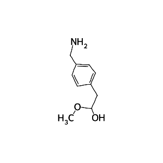 COC(O)Cc1ccc(CN)cc1